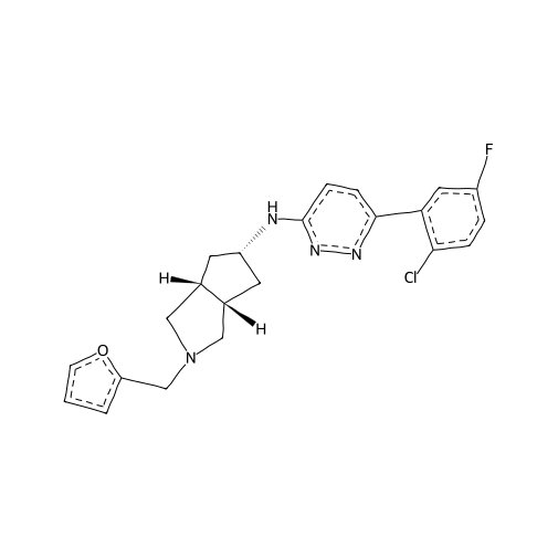 Fc1ccc(Cl)c(-c2ccc(N[C@@H]3C[C@@H]4CN(Cc5ccco5)C[C@@H]4C3)nn2)c1